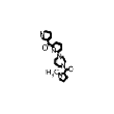 CN1CCCC1C(=O)N1CCCN(c2cccc(C(=O)c3cccnc3)n2)CC1